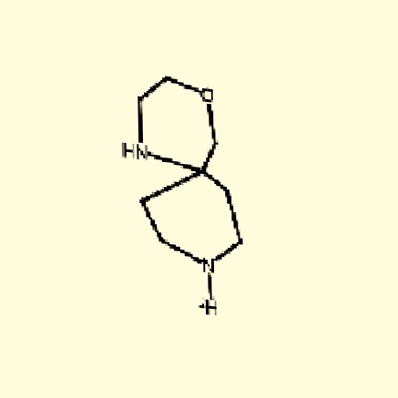 [2H]N1CCC2(CC1)COCCN2